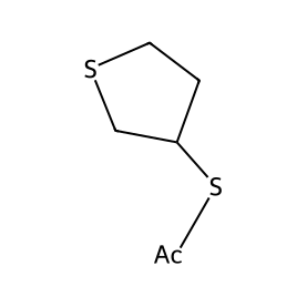 CC(=O)SC1CCSC1